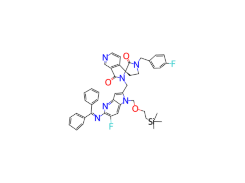 C[Si](C)(C)CCOCn1c(CN2C(=O)c3cnccc3[C@@]23CCN(Cc2ccc(F)cc2)C3=O)cc2nc(N=C(c3ccccc3)c3ccccc3)c(F)cc21